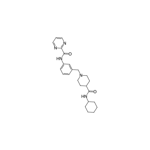 O=C(Nc1cccc(CN2CCC(C(=O)NC3CCCCC3)CC2)c1)c1ncccn1